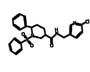 O=C(NCc1ccc(Cl)nc1)C1CCC(c2ccccc2)N(S(=O)(=O)c2ccccc2)C1